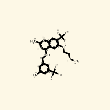 COCCOc1cc2c(NCc3cc(N)cc(C(F)(F)F)c3)nc(C)nc2cc1C(F)(F)F